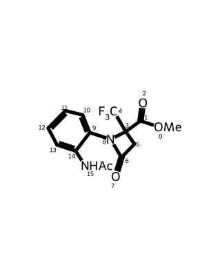 COC(=O)C1(C(F)(F)F)CC(=O)N1c1ccccc1NC(C)=O